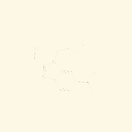 O=C(O)c1ccc2nc(CCl)n(CC3=CCO3)c2c1